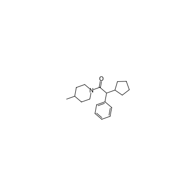 CC1CCN(C(=O)C(c2ccccc2)C2CCCC2)CC1